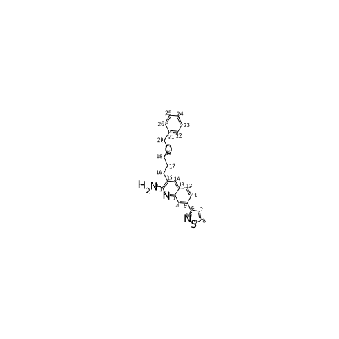 Nc1nc2cc(-c3ccsn3)ccc2cc1CCCOCc1ccccc1